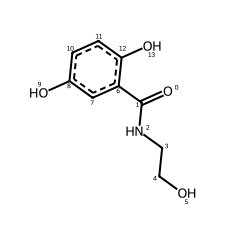 O=C(NCCO)c1cc(O)ccc1O